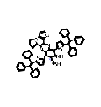 N=C1C(c2ccc(C(=C(c3ccccc3)c3ccccc3)c3ccccc3)s2)=c2nc(-c3ccco3)c(-c3ccco3)nc2=C(c2ccc(C(=C(c3ccccc3)c3ccccc3)c3ccccc3)s2)/C1=N/S